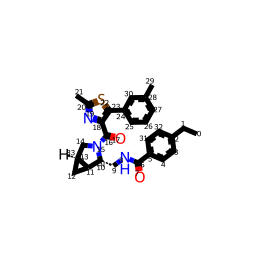 CCc1ccc(C(=O)NC[C@@H]2C3C[C@H]3CN2C(=O)c2nc(C)sc2-c2cccc(C)c2)cc1